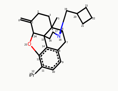 C=C1CCC2(C)C3Cc4ccc(C(C)C)c5c4C2(CCN3CC2CCC2)C1O5